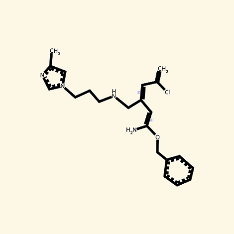 C=C(Cl)/C=C(\C=C(/N)OCc1ccccc1)CNCCCn1cnc(C)c1